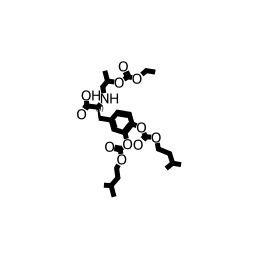 CCOC(=O)OC(C)CN[C@@H](Cc1ccc(OC(=O)OCCC(C)C)c(OC(=O)OCCC(C)C)c1)C(=O)O